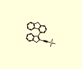 C[Si](C)(C)C#CC1=C(c2cccc3c2-c2ccccc2C3)c2ccccc2C1